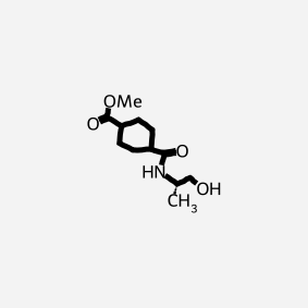 COC(=O)C1CCC(C(=O)N[C@@H](C)CO)CC1